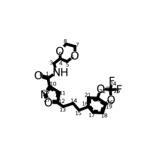 O=C(NCC1COCCO1)c1cc(CCCc2ccc3c(c2)OC(F)(F)O3)on1